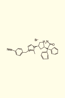 Cc1n([C@H]2CC[C@@H](C(C(N)=O)(c3ccccc3)c3ccccc3)C2)cc[n+]1Cc1ccc(C#N)cc1.[Br-]